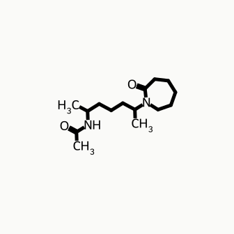 CC(=O)NC(C)CCCC(C)N1CCCCCC1=O